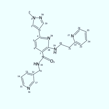 Cn1cc(-c2ccc(C(=O)NCc3cccnc3)c(NCCc3ccccn3)n2)cn1